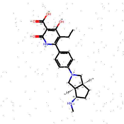 CCc1c(-c2ccc(N3C[C@H]4CC[C@@H](NC)[C@H]4C3)cc2)[nH]c(=O)c(C(=O)O)c1O